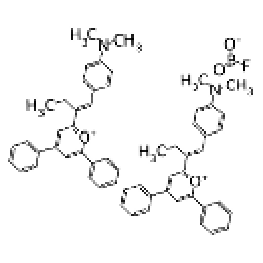 CC/C(=C\c1ccc(N(C)C)cc1)c1cc(-c2ccccc2)cc(-c2ccccc2)[o+]1.CC/C(=C\c1ccc(N(C)C)cc1)c1cc(-c2ccccc2)cc(-c2ccccc2)[o+]1.[O-]B([O-])F